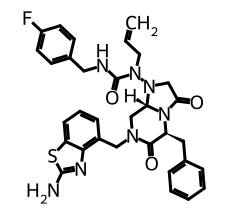 C=CCN(C(=O)NCc1ccc(F)cc1)N1CC(=O)N2[C@@H](Cc3ccccc3)C(=O)N(Cc3cccc4sc(N)nc34)C[C@@H]21